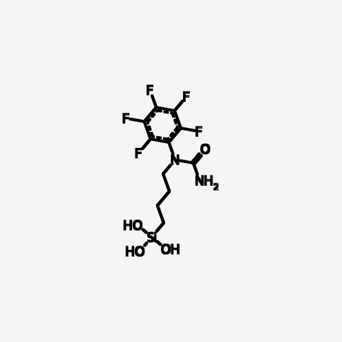 NC(=O)N(CCCC[Si](O)(O)O)c1c(F)c(F)c(F)c(F)c1F